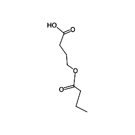 CCCC(=O)OCCCC(=O)O